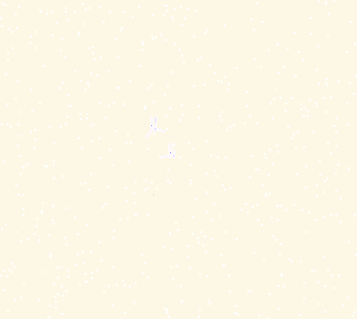 Cc1cccc2[nH]c(Cc3ccccc3)nc12